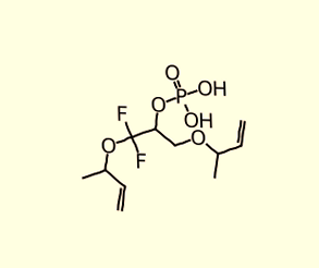 C=CC(C)OCC(OP(=O)(O)O)C(F)(F)OC(C)C=C